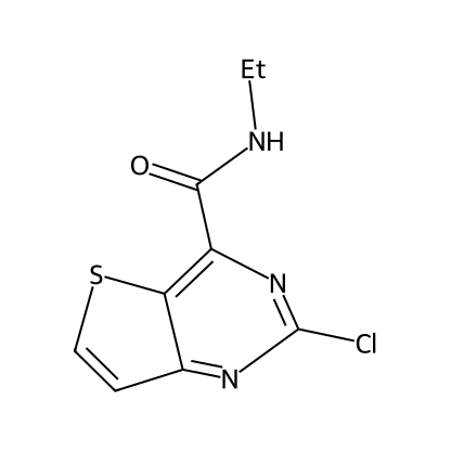 CCNC(=O)c1nc(Cl)nc2ccsc12